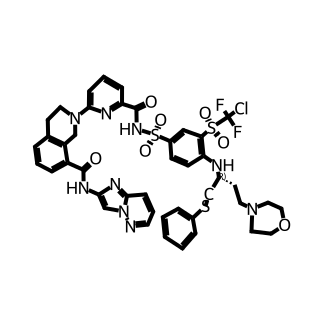 O=C(NS(=O)(=O)c1ccc(N[C@H](CCN2CCOCC2)CSc2ccccc2)c(S(=O)(=O)C(F)(F)Cl)c1)c1cccc(N2CCc3cccc(C(=O)Nc4cn5ncccc5n4)c3C2)n1